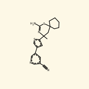 CC1(c2cc(-c3cncc(C#N)c3)cs2)CC2(CCCCC2)SC(N)=N1